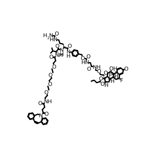 CCCC1O[C@@H]2C[C@@H]3C(C[C@H](O)[C@@]4(F)[C@H]3C[C@H](F)C3=CC(=O)C=C[C@@]34C)[C@]2(C(=O)COCNC(=O)CNC(=O)OCc2ccc(NC(=O)[C@H](CCCNC(N)=O)NC(=O)[C@@H](NC(=O)CCOCCOCCOCCOCCNC(=O)CCC(=O)N3Cc4ccccc4C#Cc4ccccc43)C(C)C)cc2)O1